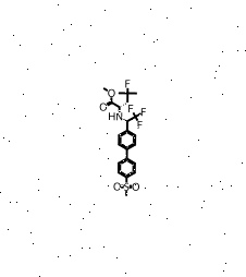 COC(=O)[C@H](CC(C)(C)F)N[C@@H](c1ccc(-c2ccc(S(C)(=O)=O)cc2)cc1)C(F)(F)F